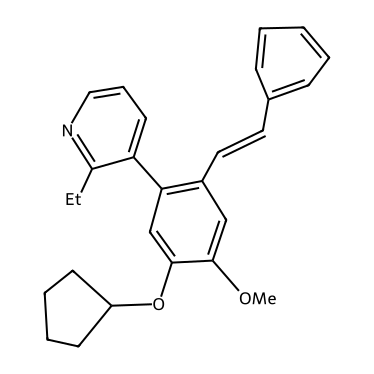 CCc1ncccc1-c1cc(OC2CCCC2)c(OC)cc1C=Cc1ccccc1